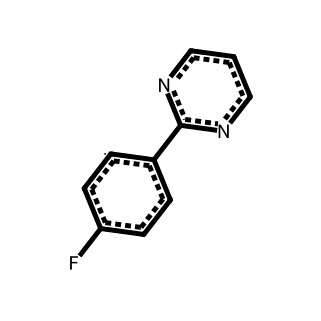 Fc1c[c]c(-c2ncccn2)cc1